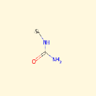 NC(=O)N[Si]